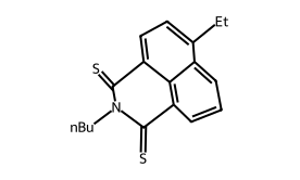 CCCCN1C(=S)c2cccc3c(CC)ccc(c23)C1=S